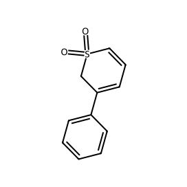 O=S1(=O)C=CC=C(c2ccccc2)C1